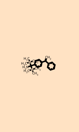 C=C(c1ccccc1)c1ccc(C(N)([Si](C)(C)C)[Si](C)(C)C)cc1